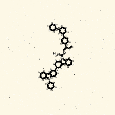 C=C/C(=C\N=C(/N)n1c2c(c3ccccc31)=CC(c1ccc3c(c1)c1ccccc1n3-c1ccccc1)CC=2)c1ccc(-c2cccc(-c3ccccc3)c2)cc1